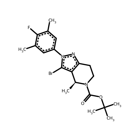 Cc1cc(-n2nc3c(c2Br)[C@H](C)N(C(=O)OC(C)(C)C)CC3)cc(C)c1F